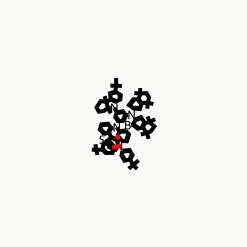 CC(C)(C)c1ccc(N(c2ccc(C(C)(C)C)cc2)c2ccc3c(c2)N(c2cccc4sc5ccccc5c24)c2cc(N4c5ccc(C(C)(C)C)cc5C5(C)CCCCC45C)cc4c2B3c2cc3c(cc2N4c2ccc4c(c2)C(C)(C)CCC4(C)C)C(C)(C)CCC3(C)C)cc1